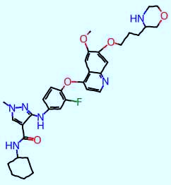 COc1cc2c(Oc3ccc(Nc4nn(C)cc4C(=O)NC4CCCCC4)cc3F)ccnc2cc1OCCCC1COCCN1